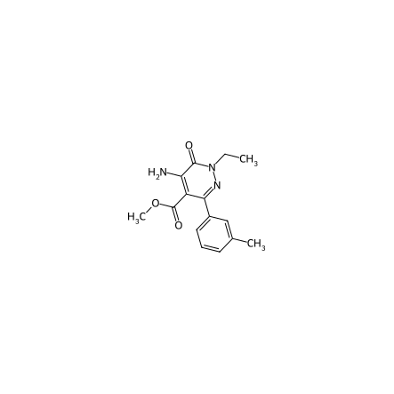 CCn1nc(-c2cccc(C)c2)c(C(=O)OC)c(N)c1=O